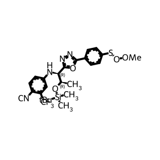 [C-]#[N+]c1ccc(N[C@@H](c2nnc(-c3ccc(SOOC)cc3)o2)[C@@H](C)O[Si](C)(C)C(C)(C)C)cc1C(F)(F)F